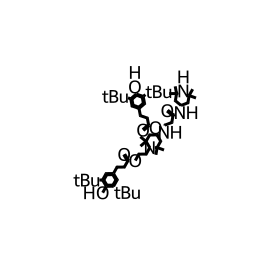 CC1(C)CC(NC(=O)CCNC2(OC(=O)CCc3cc(C(C)(C)C)c(O)c(C(C)(C)C)c3)CC(C)(C)N(CCOC(=O)CCc3cc(C(C)(C)C)c(O)c(C(C)(C)C)c3)C(C)(C)C2)CC(C)(C)N1